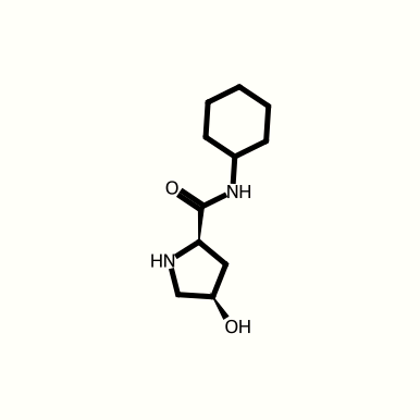 O=C(NC1CCCCC1)[C@H]1C[C@@H](O)CN1